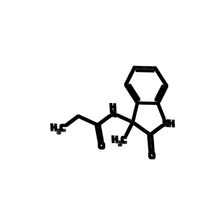 CCC(=O)NC1(C)C(=O)Nc2ccccc21